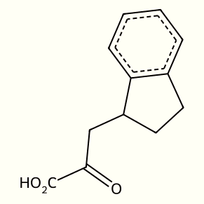 O=C(O)C(=O)CC1CCc2ccccc21